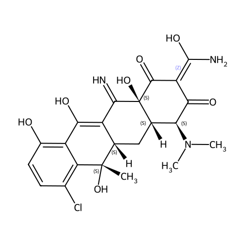 CN(C)[C@@H]1C(=O)/C(=C(\N)O)C(=O)[C@@]2(O)C(=N)C3=C(O)c4c(O)ccc(Cl)c4[C@@](C)(O)[C@H]3C[C@@H]12